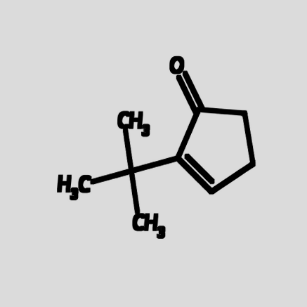 CC(C)(C)C1=CCCC1=O